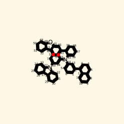 c1cc(-c2cccc3ccccc23)cc(N(c2cccc(-n3c4ccccc4c4ccccc43)c2)c2ccccc2-c2ccc3c(c2)oc2ccccc23)c1